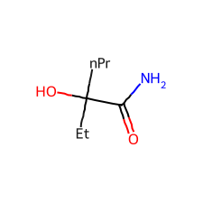 [CH2]CC(O)(CCC)C(N)=O